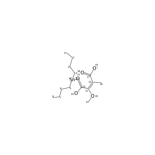 CCC[CH2][Sn+2][CH2]CCC.CO/C(C(=O)[O-])=C(\C)C(=O)[O-]